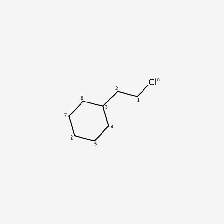 ClCCC1CC[CH]CC1